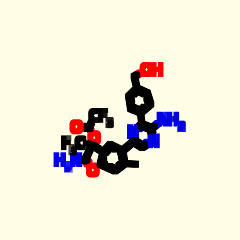 Cc1ccc(C(OC(=O)C(F)(F)F)(C(N)=O)C(F)(F)F)cc1-c1cnc(N)c(-c2ccc(CO)cc2)n1